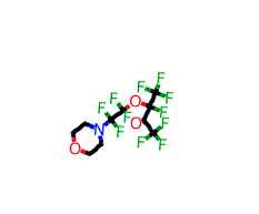 O=C(C(F)(F)F)C(F)(OC(F)(F)C(F)(F)N1CCOCC1)C(F)(F)F